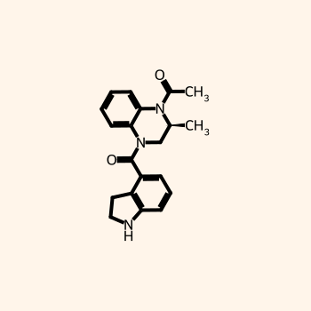 CC(=O)N1c2ccccc2N(C(=O)c2cccc3c2CCN3)C[C@@H]1C